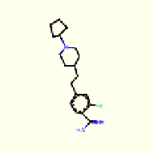 N=C(N)c1ccc(CCC2CCN(C3CCCC3)CC2)cc1F